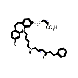 CN(C/C=C/C(=O)CCc1ccccc1)CCCCN1c2ccccc2CCc2ccc(Cl)cc21.O=C(O)/C=C\C(=O)O